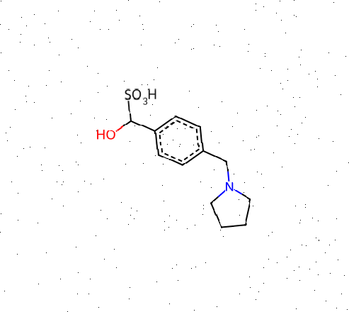 O=S(=O)(O)C(O)c1ccc(CN2CCCC2)cc1